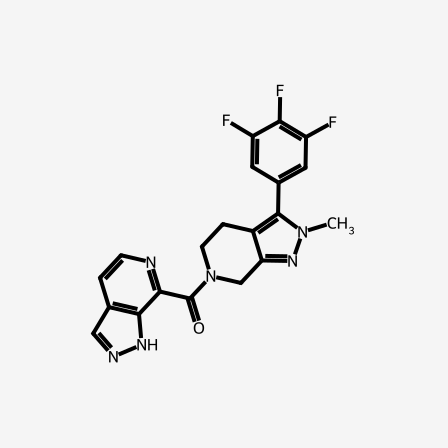 Cn1nc2c(c1-c1cc(F)c(F)c(F)c1)CCN(C(=O)c1nccc3cn[nH]c13)C2